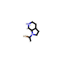 CC(S)N1CCC2CCNCC21